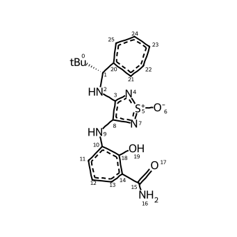 CC(C)(C)[C@@H](Nc1n[s+]([O-])nc1Nc1cccc(C(N)=O)c1O)c1ccccc1